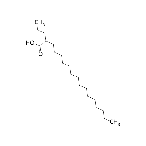 CCCCCCCCCCCCCCCC(CCC)C(=O)O